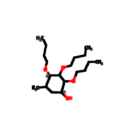 CCCCOC1C(OCCCC)[C@@H](O)CC(C)[C@@H]1OCCCC